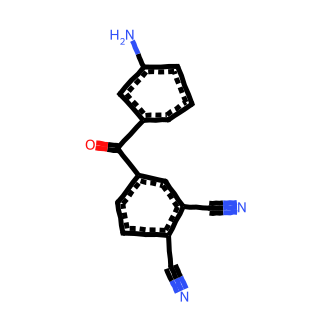 N#Cc1ccc(C(=O)c2cccc(N)c2)cc1C#N